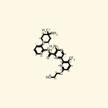 CC1(N)CCN(c2cccnc2NC(=O)c2nc(-c3nc(OCCO)ccc3C(F)(F)F)cnc2N)CC1